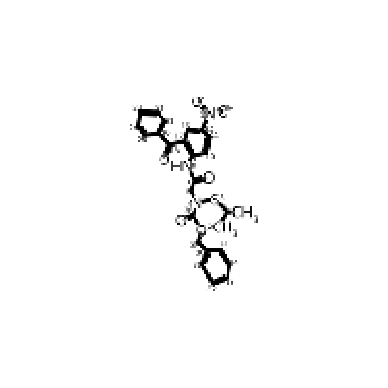 CC(C)SN(CC(=O)Nc1ccc([N+](=O)[O-])cc1C(=O)c1ccccc1)C(=O)OCc1ccccc1